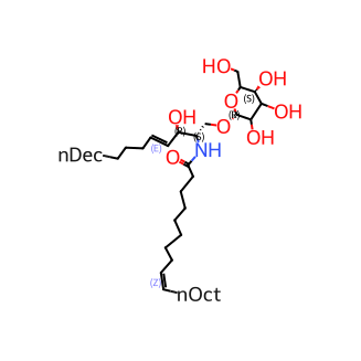 CCCCCCCC/C=C\CCCCCCCC(=O)N[C@@H](CO[C@@H]1OC(CO)[C@@H](O)C(O)C1O)[C@H](O)/C=C/CCCCCCCCCCCCC